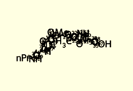 CCCNc1ccc(C2=CN3C(=O)c4cc(OC)c(OCCCOc5cc6c(cc5C)C(=O)N5C=C(c7ccc(O)cc7)C[C@H]5C=N6)cc4N=C[C@@H]3C2)cc1